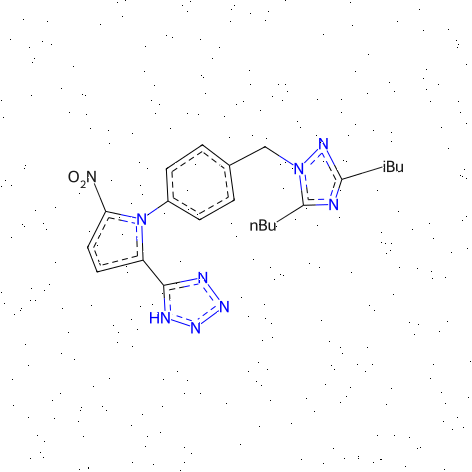 CCCCc1nc(C(C)CC)nn1Cc1ccc(-n2c(-c3nnn[nH]3)ccc2[N+](=O)[O-])cc1